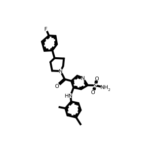 Cc1ccc(Nc2cc(S(N)(=O)=O)ncc2C(=O)N2CCC(c3ccc(F)cc3)CC2)c(C)c1